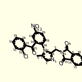 Cc1cnc(CN2C(=O)c3ccccc3C2=O)n1-c1ccc([N+](=O)[O-])cc1C(=O)c1ccccc1Cl